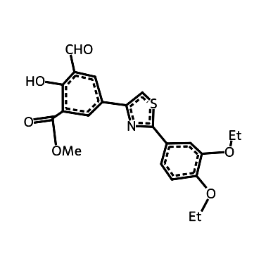 CCOc1ccc(-c2nc(-c3cc(C=O)c(O)c(C(=O)OC)c3)cs2)cc1OCC